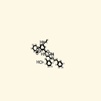 CCNc1cc(C(=O)N[C@@H](Cc2ccccc2)[C@H](O)CNCCc2ccccc2)cc(N2CCCCS2(=O)=O)c1.Cl